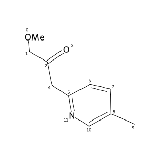 COCC(=O)Cc1ccc(C)cn1